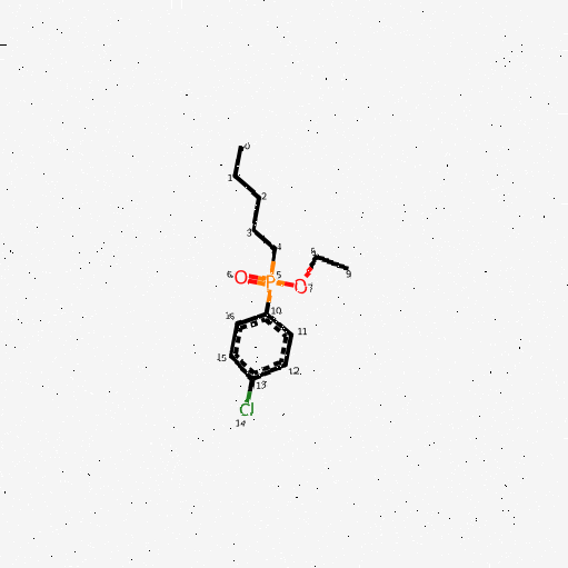 CCCCCP(=O)(OCC)c1ccc(Cl)cc1